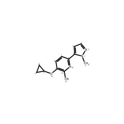 Cn1nccc1-c1ccc(OC2CC2)c(C#N)n1